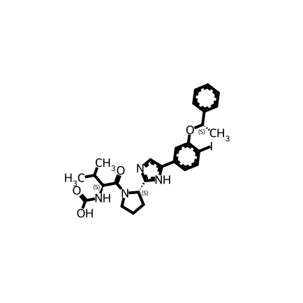 CC(C)[C@H](NC(=O)O)C(=O)N1CCC[C@H]1c1ncc(-c2ccc(I)c(O[C@@H](C)c3ccccc3)c2)[nH]1